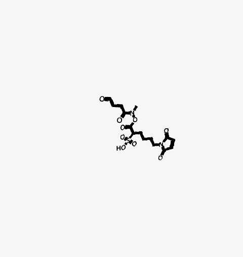 CN(OC(=O)C(CCCCN1C(=O)C=CC1=O)S(=O)(=O)O)C(=O)CCC=O